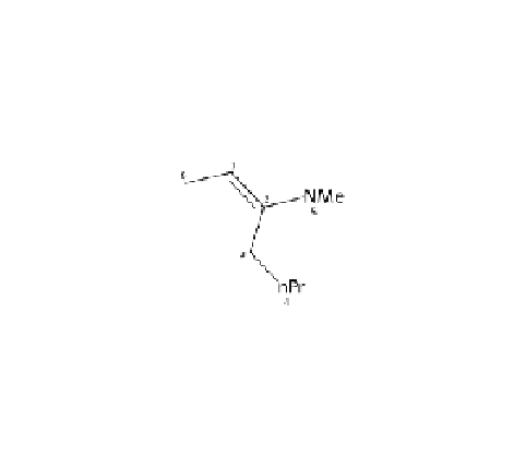 C/C=C(\CCCC)NC